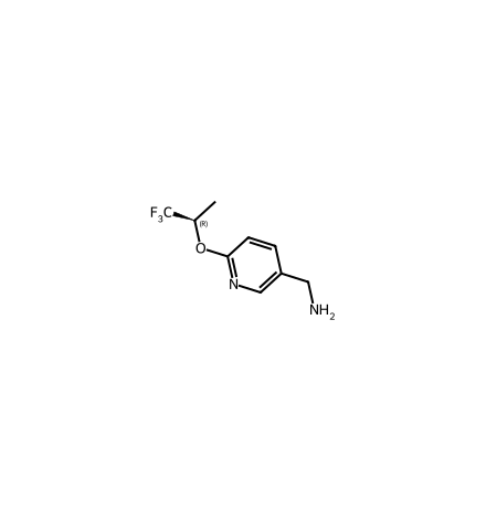 C[C@@H](Oc1ccc(CN)cn1)C(F)(F)F